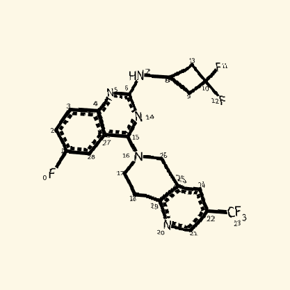 Fc1ccc2nc(NC3CC(F)(F)C3)nc(N3CCc4ncc(C(F)(F)F)cc4C3)c2c1